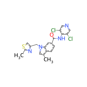 Cc1nc(Cn2cc(C)c3ccc(C(=O)Nc4c(Cl)cncc4Cl)cc32)cs1